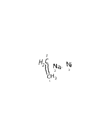 C=C.[Na].[Ni]